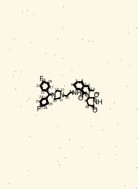 Cc1cc2cccc(NCCN3CCN(C(c4ccc(F)cc4)c4ccc(F)cc4)CC3)c2c(=O)n1C1CCC(=O)NC1=O